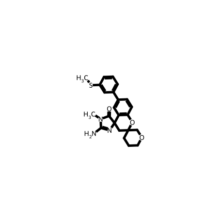 CSc1cccc(-c2ccc3c(c2)C2(CC4(CCCOC4)O3)N=C(N)N(C)C2=O)c1